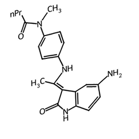 CCCC(=O)N(C)c1ccc(NC(C)=C2C(=O)Nc3ccc(N)cc32)cc1